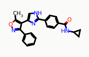 Cc1onc(-c2ccccc2)c1-c1c[nH]c(-c2ccc(C(=O)NC3CC3)cc2)n1